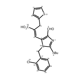 CCCCc1nc(C=O)c(/C=C(\Cc2cccs2)C(=O)O)n1Cc1ccccc1Cl